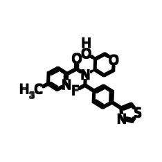 Cc1ccc(C(=O)N(C(F)c2ccc(-c3cscn3)cc2)[C@H]2CCOC[C@@H]2O)nc1